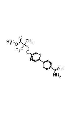 COC(=O)C(C)(C)COc1cnc(-c2ccc(C(=N)N)cc2)cn1